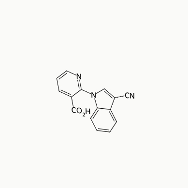 N#Cc1cn(-c2ncccc2C(=O)O)c2ccccc12